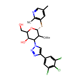 COC1C(n2cc(-c3cc(F)c(Cl)c(F)c3)nn2)[C@@H](O)C(CO)O[C@@H]1Sc1cc(C)cnc1C#N